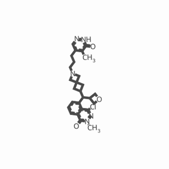 Cc1c(CCCN2CC3(CC(C(c4cccc5c(=O)n(C)nc(Cl)c45)C4COC4)C3)C2)cn[nH]c1=O